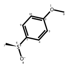 COc1ccc([S@+](C)[O-])cc1